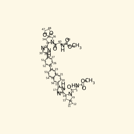 COC(=O)NCC(=O)N1CC2(CC2)CC1c1ncc(-c2ccc3cc(-c4ccc(-c5cnc(C6CC7(CN6C(=O)CNC(=O)OC)OCCO7)[nH]5)cc4)ccc3c2)[nH]1